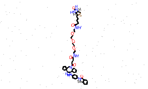 O=C(CCCCC1SC[C@@H]2NC(=O)N[C@H]12)NCCOCCOCCOCCNC(=O)CCC(=O)N1Cc2ccccc2-c2nnn(-c3ccc(-n4[se]c5ccccc5c4=O)cc3)c2-c2ccccc21